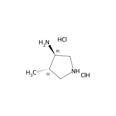 C[C@H]1CNC[C@@H]1N.Cl.Cl